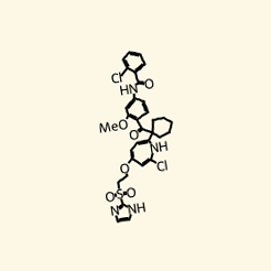 COc1cc(NC(=O)c2ccccc2Cl)ccc1C(=O)C1(C2=CC=C(OCCS(=O)(=O)c3ncc[nH]3)C=C(Cl)N2)CCCCC1